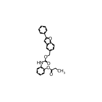 CCC(=O)Oc1ccccc1NC(=O)OCc1ccc2oc(-c3ccccc3)cc2c1